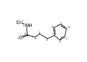 C[CH2][AlH][C](=O)CCCc1ccccc1